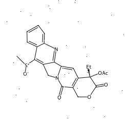 CC[C@@]1(OC(C)=O)C(=O)OCc2c1cc1n(c2=O)Cc2c-1nc1ccccc1c2[S+](C)[O-]